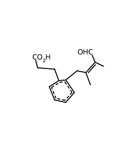 C/C(C=O)=C(\C)Cc1ccccc1CCC(=O)O